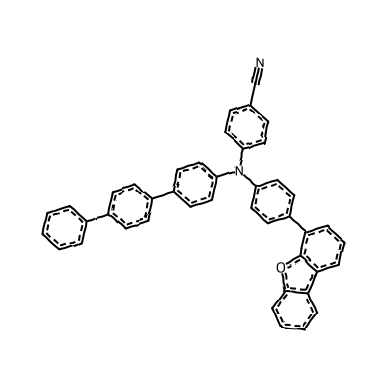 N#Cc1ccc(N(c2ccc(-c3ccc(-c4ccccc4)cc3)cc2)c2ccc(-c3cccc4c3oc3ccccc34)cc2)cc1